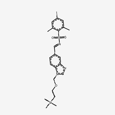 Cc1cc(C)c(S(=O)(=O)N=Cc2ccc3c(c2)ncn3COCC[Si](C)(C)C)c(C)c1